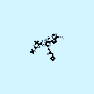 CC(C)(C)OC(=O)N[C@H](C(=O)O[C@H]1[C@@H](O)[C@](C#N)(c2ccc3c(N)ncnn23)O[C@@H]1COC(=O)CC1CCC1)C(C)(C)C